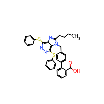 CCCCc1nc2c(Sc3ccccc3)nnc(Sc3ccccc3)c2n1Cc1ccc(-c2ccccc2C(=O)O)cc1